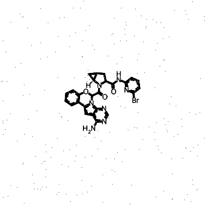 Nc1ncnc2c1cc1n2C(C(=O)N2C(C(=O)Nc3cccc(Br)n3)CC3C[C@@H]32)Oc2ccccc2-1